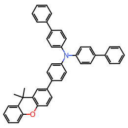 CC1(C)c2ccccc2Oc2ccc(-c3ccc(N(c4ccc(-c5ccccc5)cc4)c4ccc(-c5ccccc5)cc4)cc3)cc21